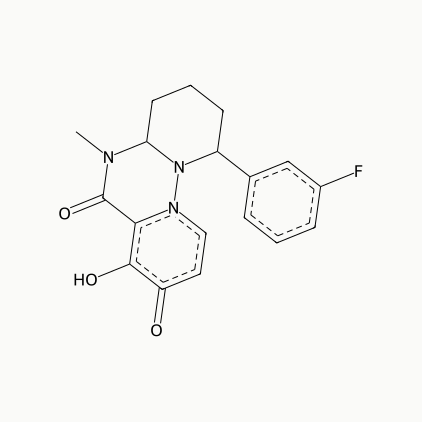 CN1C(=O)c2c(O)c(=O)ccn2N2C(c3cccc(F)c3)CCCC12